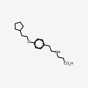 O=C(O)CCNCCc1ccc(OCCC2CCCC2)cc1